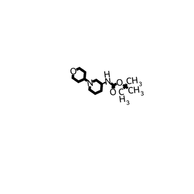 CC(C)(C)OC(=O)N[C@H]1CCCN(C2CCOCC2)C1